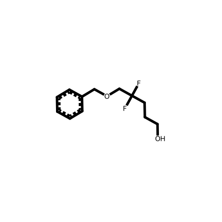 OCCCC(F)(F)COCc1ccccc1